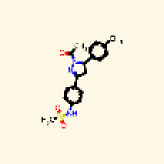 CC(=O)N1N=C(c2ccc(NS(C)(=O)=O)cc2)CC1c1ccc(C)cc1